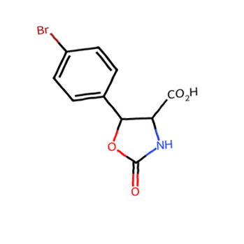 O=C1NC(C(=O)O)C(c2ccc(Br)cc2)O1